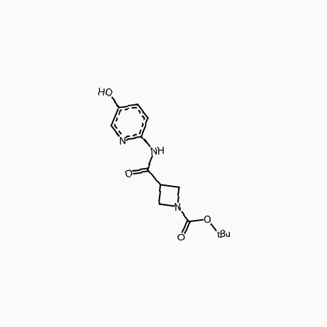 CC(C)(C)OC(=O)N1CC(C(=O)Nc2ccc(O)cn2)C1